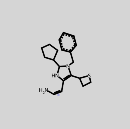 N/C=C\C1=C(C2CCS2)N(Cc2ccccc2)C(C2CCCC2)N1